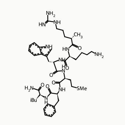 CC[C@H](C)[C@H](NC(=O)[C@H](Cc1ccccc1)NC(=O)[C@H](CCSC)NC(=O)[C@H](Cc1c[nH]c2ccccc12)NC(=O)[C@H](CCCCN)NC(=O)[C@@H](C)CCCNC(=N)N)C(N)=O